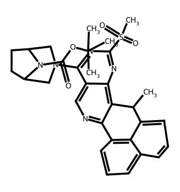 CC1c2c(ncc3c(N4CC5CCC(C4)N5C(=O)OC(C)(C)C)nc(S(C)(=O)=O)nc23)-c2cccc3cccc1c23